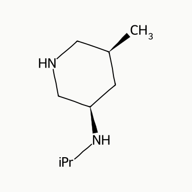 CC(C)N[C@H]1CNC[C@@H](C)C1